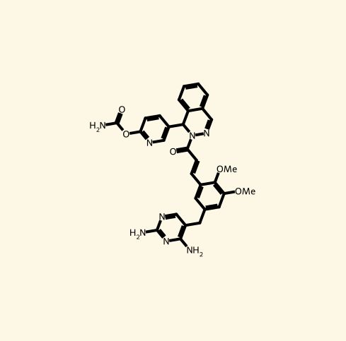 COc1cc(Cc2cnc(N)nc2N)cc(/C=C/C(=O)N2N=Cc3ccccc3C2c2ccc(OC(N)=O)nc2)c1OC